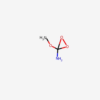 NC1(O[SiH3])OO1